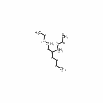 CCCCC(C[SiH2]OCC)[SiH2]OCC